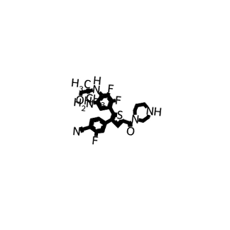 CC(C)(CO)Nc1c(N)cc(-c2sc(C(=O)N3CCCNCC3)cc2-c2ccc(C#N)c(F)c2)c(F)c1F